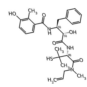 C=CCN(C)C(=O)[C@@H](NC(=O)[C@@H](O)[C@H](Cc1ccccc1)NC(=O)c1cccc(O)c1C)C(C)(C)S